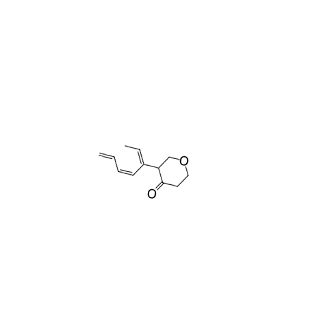 C=C/C=C\C(=C/C)C1COCCC1=O